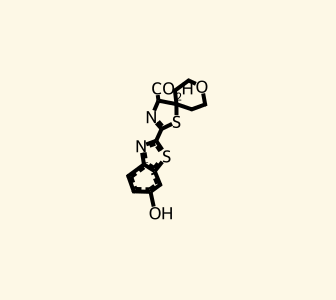 O=C(O)C1N=C(c2nc3ccc(O)cc3s2)SC12CCOCC2